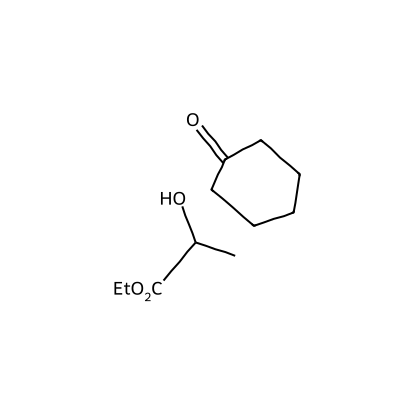 CCOC(=O)C(C)O.O=C1CCCCC1